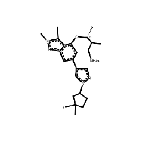 CC(=O)NCC(C)[C@@H](C)Oc1cc(-c2cnn(C3CCC(C)(F)C3)c2)cc2nn(C)c(C)c12